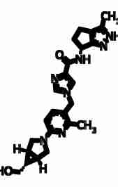 Cc1nc(N2C[C@@H]3[C@H](CO)[C@@H]3C2)ccc1Cn1cnc(C(=O)N[C@@H]2CCc3c2n[nH]c3C)c1